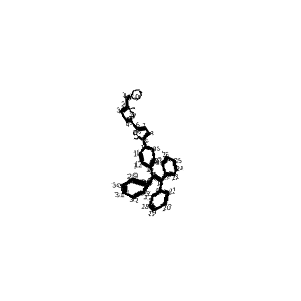 O=Cc1ccc(-c2ccc(-c3ccc(C(=C(c4ccccc4)c4ccccc4)c4ccccc4)cc3)s2)s1